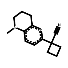 CN1CCCc2nc(C3(C#N)CCC3)ccc21